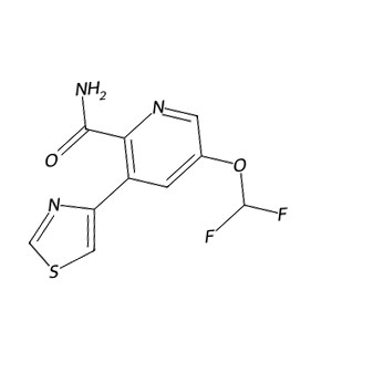 NC(=O)c1ncc(OC(F)F)cc1-c1cscn1